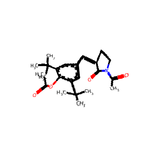 CC(=O)Oc1c(C(C)(C)C)cc(C=C2CCN(C(C)=O)C2=O)cc1C(C)(C)C